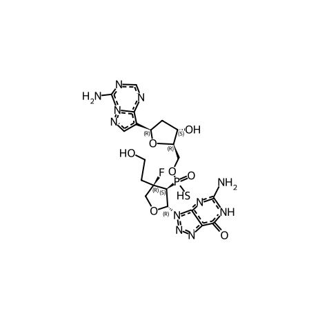 Nc1nc2c(nnn2[C@@H]2OC[C@](F)(CCO)[C@H]2P(=O)(S)OC[C@H]2O[C@@H](c3cnn4c(N)ncnc34)C[C@@H]2O)c(=O)[nH]1